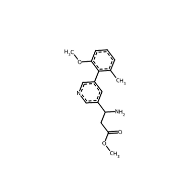 COC(=O)CC(N)c1cncc(-c2c(C)cccc2OC)c1